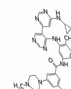 Cc1ccc(NC(=O)c2cc(N3CCN(C)CC3)cc(C(F)(F)F)c2)cc1Nc1ncncc1-c1cc(NC2CC2)ncn1